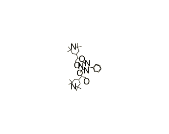 CN1C(C)(C)CC(C(C=O)Oc2nc(OC(C=O)C3CC(C)(C)N(C)C(C)(C)C3)nc(-c3ccccc3)n2)CC1(C)C